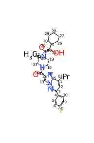 CC(C)c1cc(-c2ccc(F)cc2)nn2cc(C(=O)N3CCN(C(=O)[C@H](O)C4CCCCC4)[C@@H](C)C3)nc12